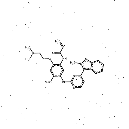 C=CC(=O)Nc1cc(Nc2nccc(-c3c4ccccc4nn3C)n2)c(OC)cc1OCCN(C)C